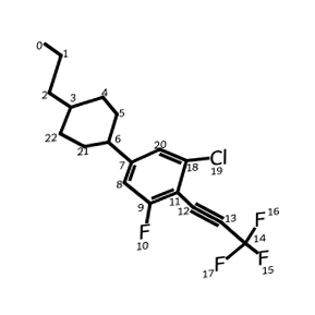 CCCC1CCC(c2cc(F)c(C#CC(F)(F)F)c(Cl)c2)CC1